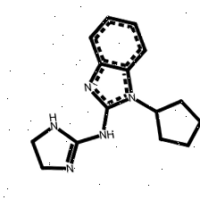 c1ccc2c(c1)nc(NC1=NCCN1)n2C1CCCC1